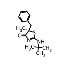 CC(C)(C)NC1=NC(=O)[C@@](C)(Cc2ccccc2)S1